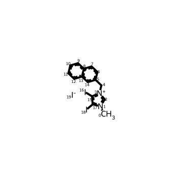 Cn1c[n+](Cc2ccc3ccccc3c2)c(I)c1I.[I-]